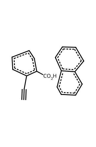 C#Cc1ccccc1C(=O)O.c1ccc2ccccc2c1